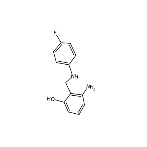 Nc1cccc(O)c1CNc1ccc(F)cc1